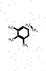 CC.CC1=C[CH]CC(C)=C1C